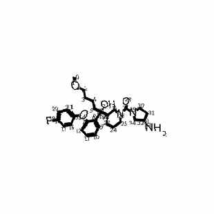 COCCCC[C@@](O)(c1ccccc1Oc1ccc(F)cc1)[C@@H]1CCCN(C(=O)N2CC[C@H](N)C2)C1